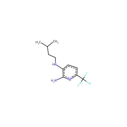 CC(C)CCNc1ccc(C(F)(F)F)nc1N